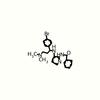 CN(C)CCC(Nc1cccnc1NC(=O)c1ccccc1)c1ccc(Br)cc1